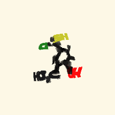 O=C(O)c1cc(C(S)Cl)ccc1O